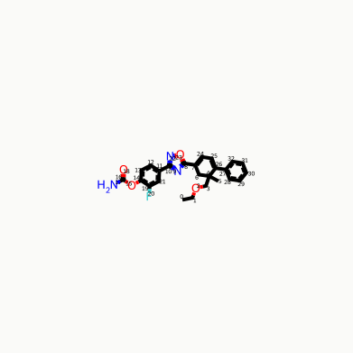 CCOCC1(C)CC(c2nc(-c3ccc(OC(N)=O)c(F)c3)no2)=CC=C1c1ccccc1